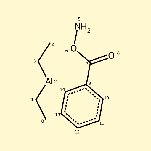 C[CH2][Al][CH2]C.NOC(=O)c1ccccc1